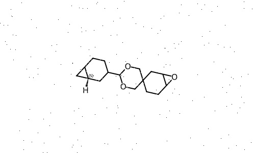 C1CC2C[C@H]2CC1C1OCC2(CCC3OC3C2)CO1